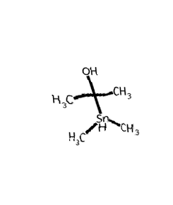 [CH3][SnH]([CH3])[C](C)(C)O